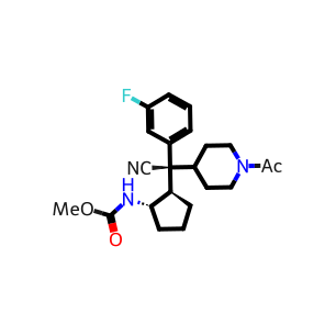 COC(=O)N[C@H]1CCC[C@@H]1[C@](C#N)(c1cccc(F)c1)C1CCN(C(C)=O)CC1